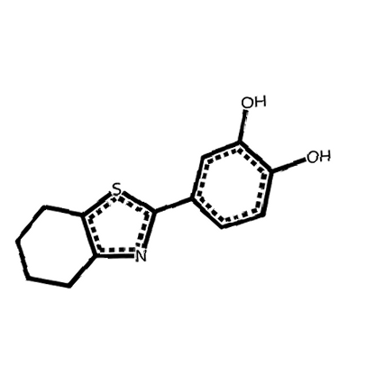 Oc1ccc(-c2nc3c(s2)CCCC3)cc1O